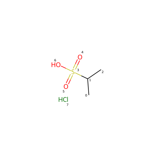 CC(C)S(=O)(=O)O.Cl